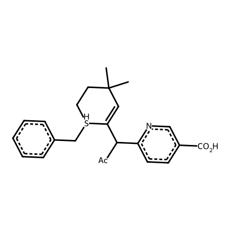 CC(=O)C(C1=CC(C)(C)CC[SH]1Cc1ccccc1)c1ccc(C(=O)O)cn1